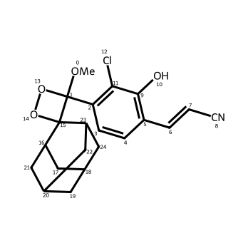 COC1(c2ccc(/C=C/C#N)c(O)c2Cl)OOC12C1CC3CC(C1)CC2C3